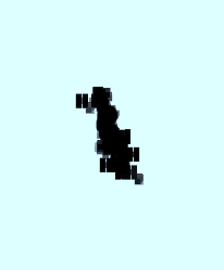 Nc1nc(Nc2cc(Cl)c(-c3c#cc(OC4CCCN(CCC(F)(F)P)C4)cc3)c(C(F)(F)I)c2)n[nH]1